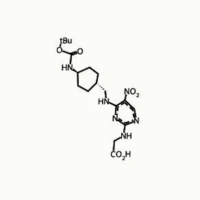 CC(C)(C)OC(=O)N[C@H]1CC[C@H](CNc2nc(NCC(=O)O)ncc2[N+](=O)[O-])CC1